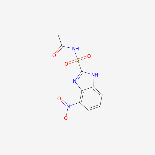 CC(=O)NS(=O)(=O)c1nc2c([N+](=O)[O-])cccc2[nH]1